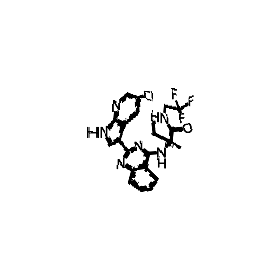 CC[C@@](C)(Nc1nc(-c2c[nH]c3ncc(Cl)cc23)nc2ccccc12)C(=O)NCC(F)(F)F